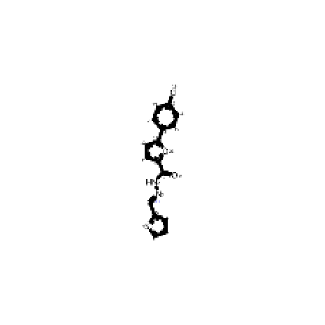 O=C(N/N=C/c1cccs1)c1ccc(-c2ccc(Cl)cc2)o1